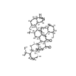 C=C(F)C(=O)N1CCN(c2c(C(=O)NC)c(=O)n(-c3c(C)ccnc3C(C)C)c3nc(-c4c(C)ccc5[nH]ncc45)c(F)cc23)C[C@@H]1CC#N